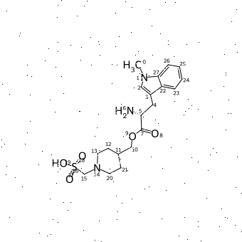 Cn1cc(C[C@@H](N)C(=O)OCC2CCN(CS(=O)(=O)O)CC2)c2ccccc21